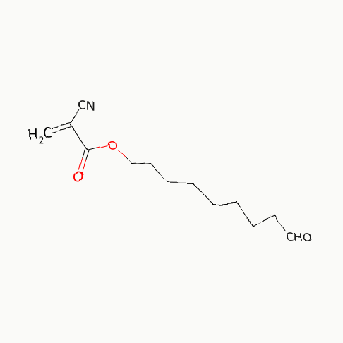 C=C(C#N)C(=O)OCCCCCCCCC=O